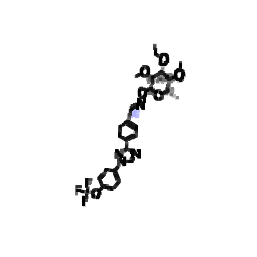 CCO[C@@H]1[C@@H](OC)[C@H](C)O[C@@H](O/N=C/c2ccc(-c3ncn(-c4ccc(OC(F)(F)F)cc4)n3)cc2)[C@@H]1OC